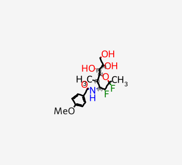 COc1ccc(C(=O)N[C@H]2C(F)C(C)(F)O[C@@H]([C@H](O)[C@H](O)CO)[C@@H]2C)cc1